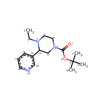 CCN1CCN(C(=O)OC(C)(C)C)CC1c1cccnc1